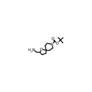 CC(C)(C)OC(=O)N1CCC2(CCC(CN)O2)CC1